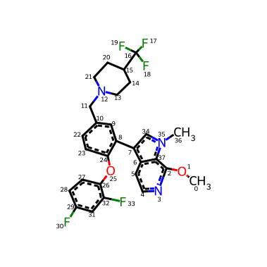 COc1nccc2c(-c3cc(CN4CCC(C(F)(F)F)CC4)ccc3Oc3ccc(F)cc3F)cn(C)c12